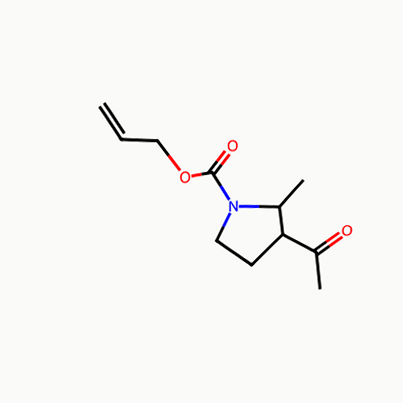 C=CCOC(=O)N1CCC(C(C)=O)C1C